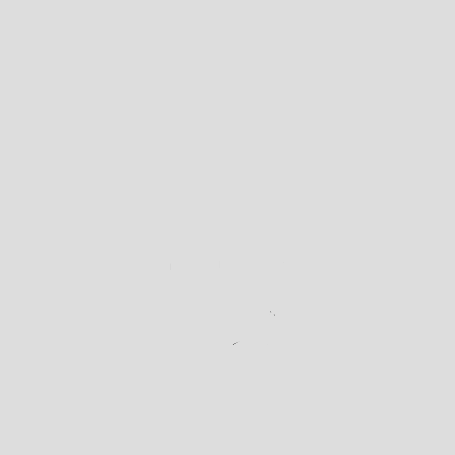 CC1=C(c2ccc(O)c(F)c2)C(c2ccc(OCCN3CC[C@@H](CF)C3)cc2)Oc2ccc(O)cc21